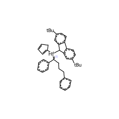 CC(C)(C)c1ccc2c(c1)[CH](/[Hf]([C]1=CC=CC1)=[C](\CCCc1ccccc1)c1ccccc1)c1cc(C(C)(C)C)ccc1-2